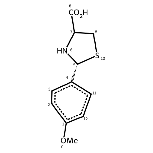 COc1ccc([C@@H]2NC(C(=O)O)CS2)cc1